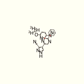 [2H]C([2H])([2H])Oc1ccc(CN2C3CC2CN(c2cnc(-c4c[nH]nc4C#N)cn2)C3)cn1